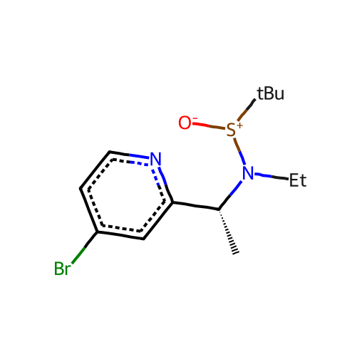 CCN([C@H](C)c1cc(Br)ccn1)[S+]([O-])C(C)(C)C